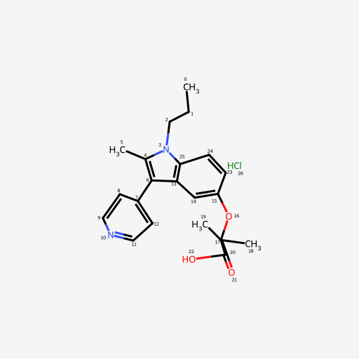 CCCn1c(C)c(-c2ccncc2)c2cc(OC(C)(C)C(=O)O)ccc21.Cl